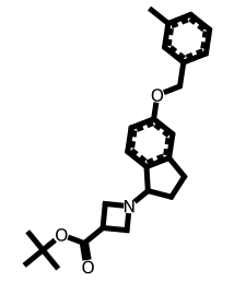 Cc1cccc(COc2ccc3c(c2)CCC3N2CC(C(=O)OC(C)(C)C)C2)c1